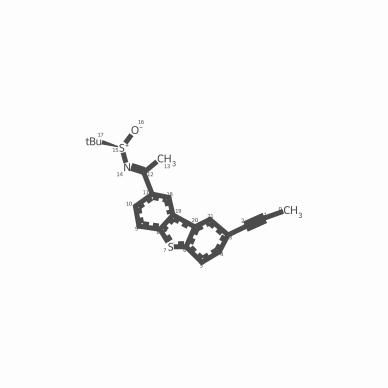 CC#Cc1ccc2sc3ccc(C(C)=N[S@+]([O-])C(C)(C)C)cc3c2c1